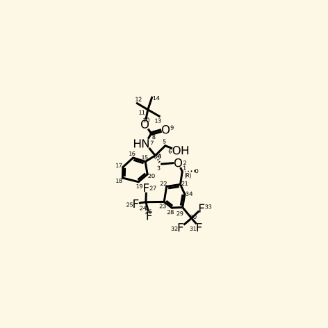 C[C@@H](OC[C@@](CO)(NC(=O)OC(C)(C)C)c1ccccc1)c1cc(C(F)(F)F)cc(C(F)(F)F)c1